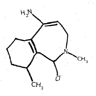 CC1CCCC2=C1C(Cl)N(C)CC=C2N